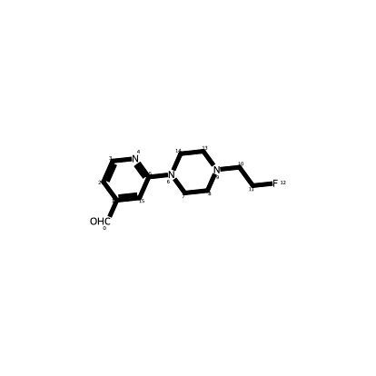 O=Cc1ccnc(N2CCN(CCF)CC2)c1